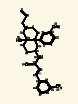 C=CCN1CCC2(c3cccc(OC(C)=O)c3)CC(NC(=O)/C=C/c3cccc(C(F)(F)F)c3)CCC2(O)C1